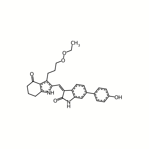 CCOOCCCc1c(/C=C2\C(=O)Nc3cc(-c4ccc(O)cc4)ccc32)[nH]c2c1C(=O)CCC2